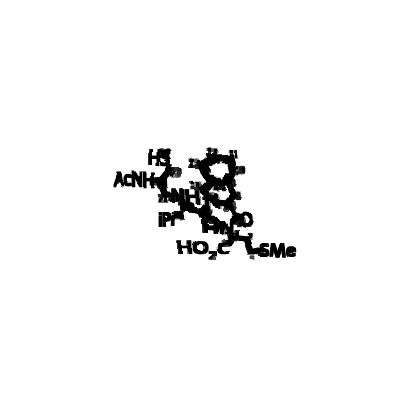 CSCC[C@H](NC(=O)[C@@H]1Cc2ccccc2CN1C(=O)[C@@H](NC[C@H](CS)NC(C)=O)C(C)C)C(=O)O